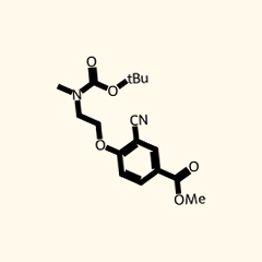 COC(=O)c1ccc(OCCN(C)C(=O)OC(C)(C)C)c(C#N)c1